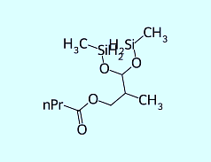 CCCC(=O)OCC(C)C(O[SiH2]C)O[SiH2]C